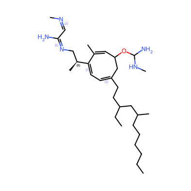 CCCCCCC(C)CC(CC)CC/C1=C/C=C(/[C@@H](C)C/N=C(N)\C=N/C)C(C)=CC(OC(N)NC)C1